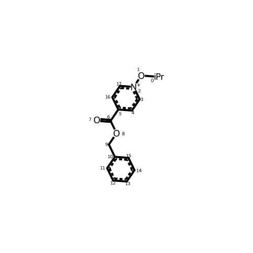 CC(C)O[n+]1ccc(C(=O)OCc2ccccc2)cc1